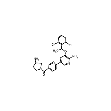 CC(Oc1cc(-c2ccc(C(=O)N3CCC(N)C3)cc2)cnc1N)c1c(Cl)cccc1Cl